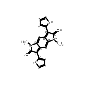 CN1C(=O)C(c2cccs2)=c2cc3c(cc21)=C(c1cccs1)C(=O)N3C